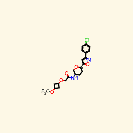 O=C(COC1CC(OC(F)(F)F)C1)N[C@H]1CC[C@H](c2cc(-c3ccc(Cl)cc3)no2)OC1